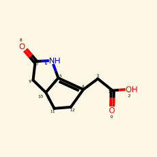 O=C(O)CC1=C2NC(=O)CC2CC1